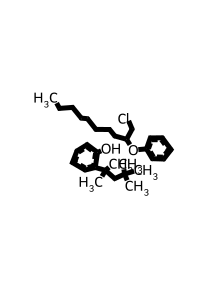 CC(C)(C)CC(C)(C)c1ccccc1O.CCCCCCCCC(CCl)Oc1ccccc1